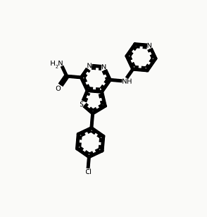 NC(=O)c1nnc(Nc2ccncc2)c2cc(-c3ccc(Cl)cc3)sc12